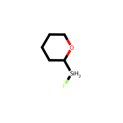 F[SiH2]C1CCCCO1